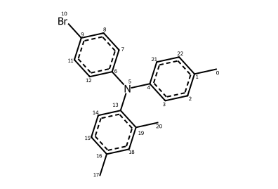 Cc1ccc(N(c2ccc(Br)cc2)c2ccc(C)cc2C)cc1